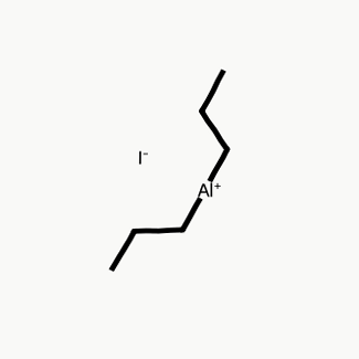 CC[CH2][Al+][CH2]CC.[I-]